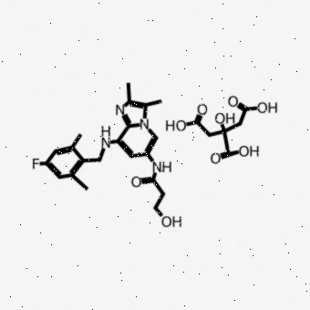 Cc1cc(F)cc(C)c1CNc1cc(NC(=O)CCO)cn2c(C)c(C)nc12.O=C(O)CC(O)(CC(=O)O)C(=O)O